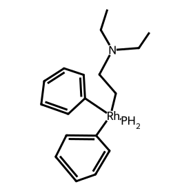 CCN(CC)C[CH2][Rh]([PH2])([c]1ccccc1)[c]1ccccc1